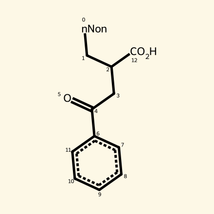 CCCCCCCCCCC(CC(=O)c1ccccc1)C(=O)O